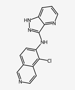 Clc1c(Nc2n[nH]c3cccnc23)ccc2cnccc12